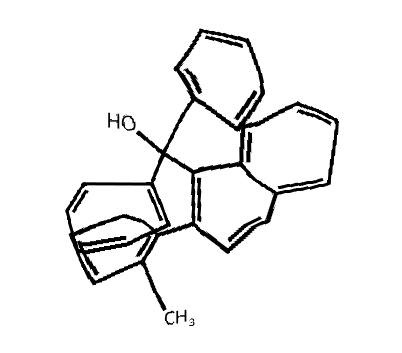 CC1=C(c2ccc3ccccc3c2C(O)(c2ccccc2)c2ccccc2)CC=C1